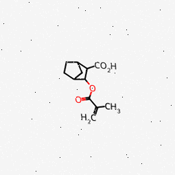 C=C(C)C(=O)OC1C2CCC(C2)C1C(=O)O